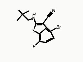 CC(C)(C)CNc1sc2c(F)ccc(Br)c2c1C#N